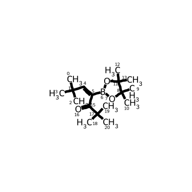 CC(C)(C)C=C(B1OC(C)(C)C(C)(C)O1)C(=O)C(C)(C)C